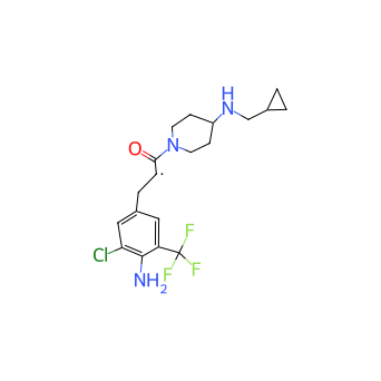 Nc1c(Cl)cc(C[CH]C(=O)N2CCC(NCC3CC3)CC2)cc1C(F)(F)F